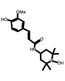 COc1cc(/C=C/C(=O)NC2CC(C)(C)N(O)C(C)(C)C2)ccc1O